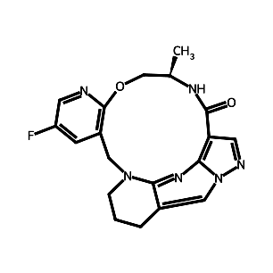 C[C@@H]1COc2ncc(F)cc2CN2CCCc3cn4ncc(c4nc32)C(=O)N1